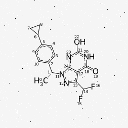 C[C@H](c1ccc(C2CC2)cc1)n1nc(C(F)F)c2c(=O)[nH]c(O)nc21